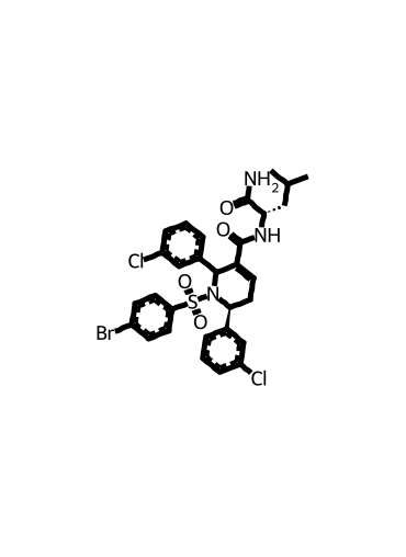 CC(C)C[C@H](NC(=O)C1=CC[C@@H](c2cccc(Cl)c2)N(S(=O)(=O)c2ccc(Br)cc2)C1c1cccc(Cl)c1)C(N)=O